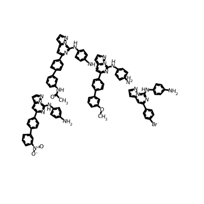 CC(=O)Nc1cccc(-c2ccc(-c3cc4ccnn4c(Nc4ccc(N)cc4)n3)cc2)c1.COc1cccc(-c2ccc(-c3cc4ccnn4c(Nc4ccc(N)cc4)n3)cc2)c1.Nc1ccc(Nc2nc(-c3ccc(-c4cccc([N+](=O)[O-])c4)cc3)cc3ccnn23)cc1.Nc1ccc(Nc2nc(-c3ccc(Br)cc3)cc3ccnn23)cc1